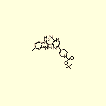 Cc1ccc2nc(-c3nc(C4=CCN(C(=O)OC(C)(C)C)CC4)cnc3N)[nH]c2c1